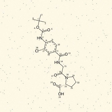 CC(C)(C)OC(=O)Nc1ccc(C(=O)NCC(=O)N2CCC[C@@H]2C(=O)O)cc1Cl